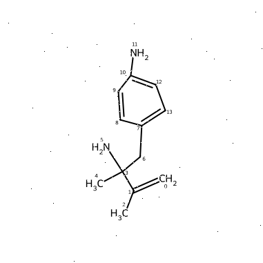 C=C(C)C(C)(N)Cc1ccc(N)cc1